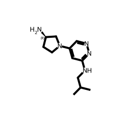 CC(C)CNc1cc(N2CC[C@@H](N)C2)cnn1